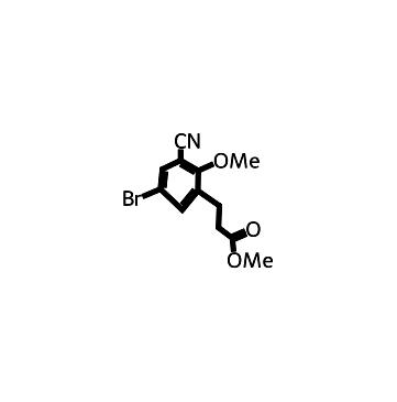 COC(=O)CCc1cc(Br)cc(C#N)c1OC